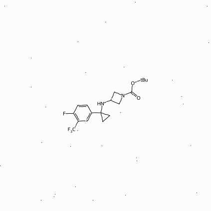 CC(C)(C)OC(=O)N1CC(NC2(c3ccc(F)c(C(F)(F)F)c3)CC2)C1